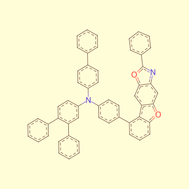 c1ccc(-c2ccc(N(c3ccc(-c4cccc5oc6cc7nc(-c8ccccc8)oc7cc6c45)cc3)c3ccc(-c4ccccc4)c(-c4ccccc4)c3)cc2)cc1